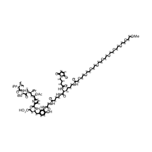 CC[C@H](C)[C@H](NC(=O)[C@H](C(C)C)N(C)C)C(=O)N(C)[C@H](C[C@@H](OC(C)=O)c1nc(C(=O)N[C@H](CCC(=O)O)Cc2ccc(O)c(NC(=O)CNC(=O)CCCNC(=O)[C@H](CCCCNC(=O)COCCOCCOCCOCCOCCOCCOCCOCCOCCOC)NC(=O)CCCN3C(=O)C=CC3=O)c2)cs1)C(C)C